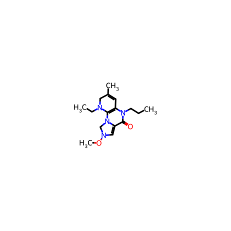 CCCN1C(=O)C2=CN(OC)CN2C2=C1C=C(C)CN2CC